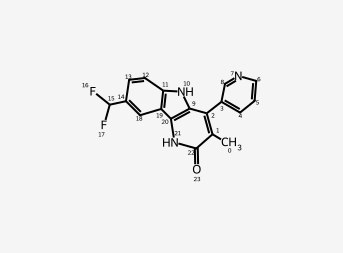 Cc1c(-c2cccnc2)c2[nH]c3ccc(C(F)F)cc3c2[nH]c1=O